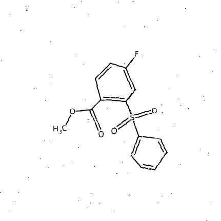 COC(=O)c1ccc(F)cc1S(=O)(=O)c1ccccc1